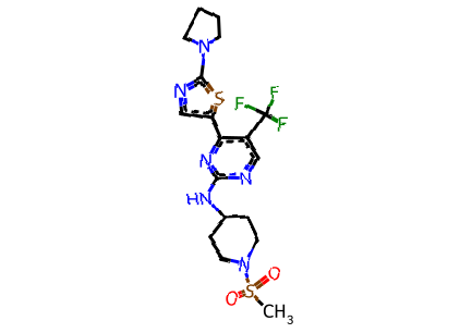 CS(=O)(=O)N1CCC(Nc2ncc(C(F)(F)F)c(-c3cnc(N4CCCC4)s3)n2)CC1